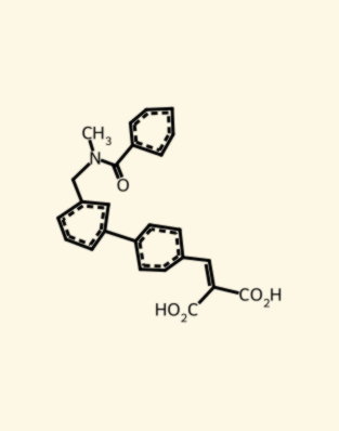 CN(Cc1cccc(-c2ccc(C=C(C(=O)O)C(=O)O)cc2)c1)C(=O)c1ccccc1